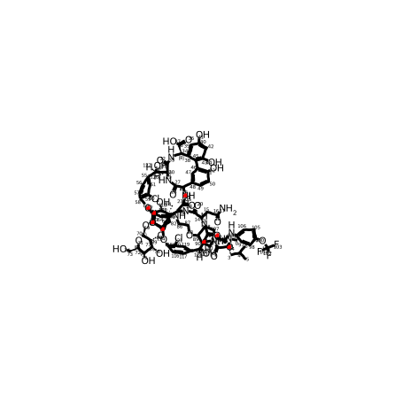 CN[C@H](CC(C)C)C(=O)N[C@H]1C(=O)NC(CC(N)=O)C(=O)NC2C(=O)N[C@H]3C(=O)N[C@H](C(=O)N[C@@H](C(=O)O)c4cc(O)cc(O)c4-c4cc3ccc4O)[C@H](O)c3ccc(c(Cl)c3)Oc3cc2cc(c3O[C@@H]2O[C@H](CO)[C@@H](O)[C@H](O)[C@H]2O[C@H]2C[C@](C)(NCCOC3CCN(C(=O)Nc4ccc(OC(F)(F)F)cc4)CC3)[C@H](O)C(C)O2)Oc2ccc(cc2Cl)[C@H]1O